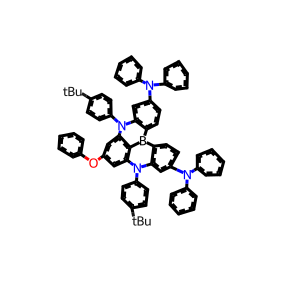 CC(C)(C)c1ccc(N2c3cc(N(c4ccccc4)c4ccccc4)ccc3B3c4ccc(N(c5ccccc5)c5ccccc5)cc4N(c4ccc(C(C)(C)C)cc4)c4cc(Oc5ccccc5)cc2c43)cc1